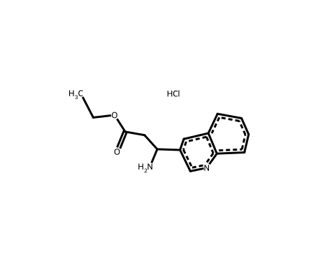 CCOC(=O)CC(N)c1cnc2ccccc2c1.Cl